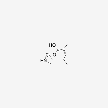 CCC=C(C)C(=O)O.CCl.CNC